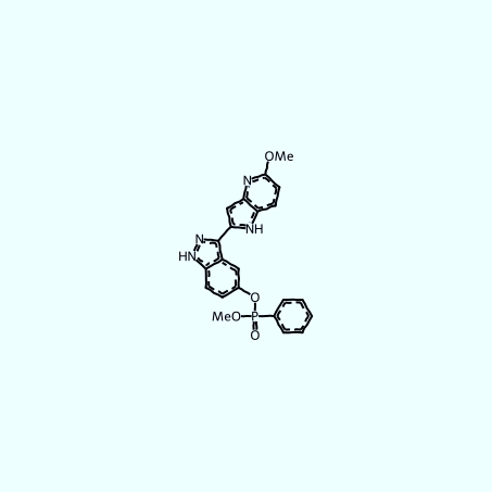 COc1ccc2[nH]c(-c3n[nH]c4ccc(OP(=O)(OC)c5ccccc5)cc34)cc2n1